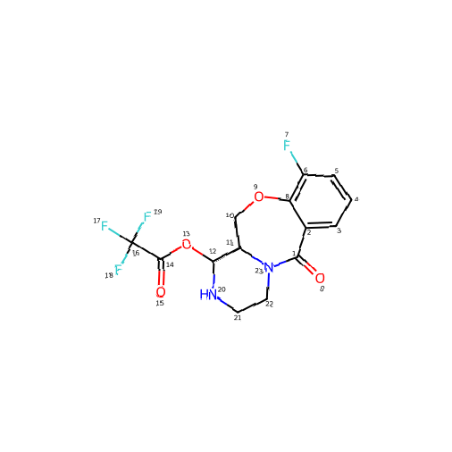 O=C1c2cccc(F)c2OCC2C(OC(=O)C(F)(F)F)NCCN12